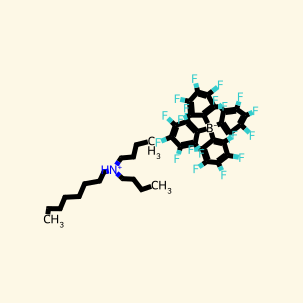 CCCCCCCC[NH+](CCCC)CCCC.Fc1c(F)c(F)c([B-](c2c(F)c(F)c(F)c(F)c2F)(c2c(F)c(F)c(F)c(F)c2F)c2c(F)c(F)c(F)c(F)c2F)c(F)c1F